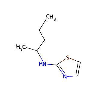 CCCC(C)Nc1nccs1